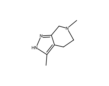 Cc1[nH]nc2c1CCN(C)C2